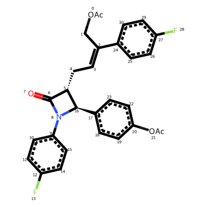 CC(=O)OC/C(=C\C[C@H]1C(=O)N(c2ccc(F)cc2)[C@@H]1c1ccc(OC(C)=O)cc1)c1ccc(F)cc1